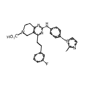 Cc1nccn1-c1ccc(Nc2nc(CCc3cccc(F)c3)c3c(n2)CCN(C(=O)O)C3)cc1